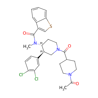 CC(=O)N1CCC(C(=O)N2CC[C@@H](N(C)C(=O)c3csc4ccccc34)[C@H](c3ccc(Cl)c(Cl)c3)C2)CC1